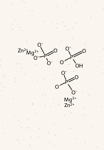 O=P([O-])([O-])O.O=P([O-])([O-])[O-].O=P([O-])([O-])[O-].[Mg+2].[Mg+2].[Zn+2].[Zn+2]